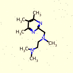 Cc1nc(CN(C)CCN(C)C)nc(C)c1C